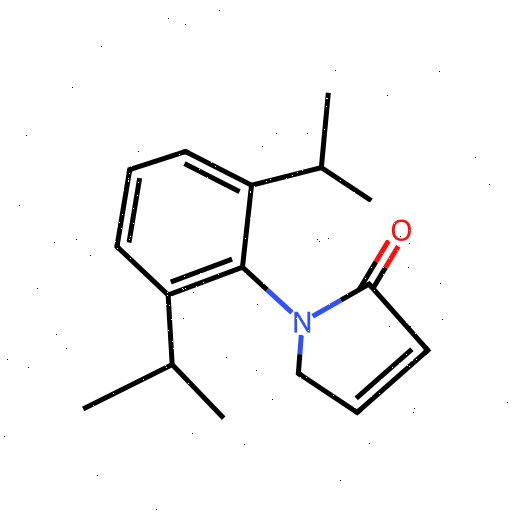 CC(C)c1cccc(C(C)C)c1N1CC=CC1=O